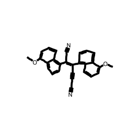 COc1cccc2c(/C(C#N)=C(\C#CC#N)c3cccc4c(OC)cccc34)cccc12